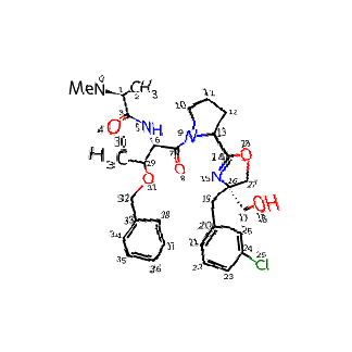 CN[C@@H](C)C(=O)N[C@H](C(=O)N1CCCC1C1=N[C@](CO)(Cc2cccc(Cl)c2)CO1)C(C)OCc1ccccc1